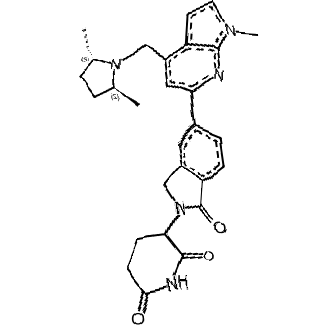 C[C@H]1CC[C@H](C)N1Cc1cc(-c2ccc3c(c2)CN(C2CCC(=O)NC2=O)C3=O)nc2c1ccn2C